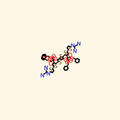 N#CC(C#N)=Nc1ccc(-c2cc3c(s2)-c2sc4c5c(sc4c2OC3(C(=O)OCc2ccccc2)C(=O)OCc2ccccc2)-c2sc(-c3ccc(N=C(C#N)C#N)s3)cc2C(C(=O)OCc2ccccc2)(C(=O)OCc2ccccc2)O5)s1